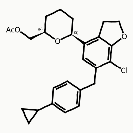 CC(=O)OC[C@H]1CCC[C@@H](c2cc(Cc3ccc(C4CC4)cc3)c(Cl)c3c2CCO3)O1